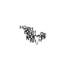 Nc1nc(CCCNC(=O)C(F)(F)F)nc2c1ncn2[C@@H]1O[C@H](CO)C(O)C1O